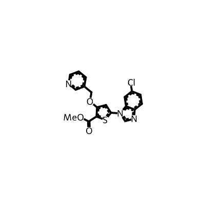 COC(=O)c1sc(-n2cnc3ccc(Cl)cc32)cc1OCc1cccnc1